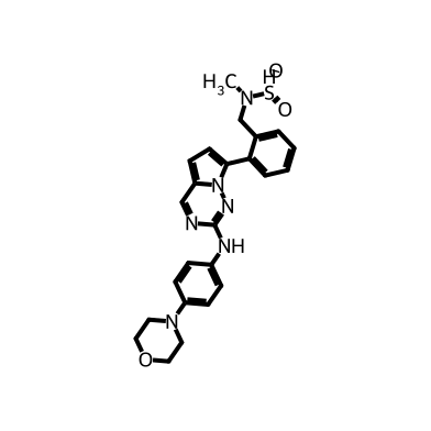 CN(Cc1ccccc1-c1ccc2cnc(Nc3ccc(N4CCOCC4)cc3)nn12)[SH](=O)=O